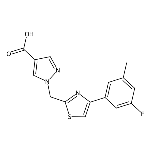 Cc1cc(F)cc(-c2csc(Cn3cc(C(=O)O)cn3)n2)c1